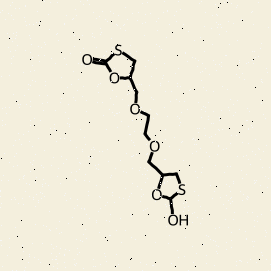 O=C1OC(COCCOCC2CSC(O)O2)CS1